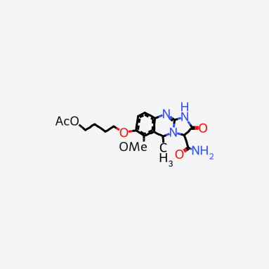 COc1c(OCCCCOC(C)=O)ccc2c1C(C)N1C(=N2)NC(=O)C1C(N)=O